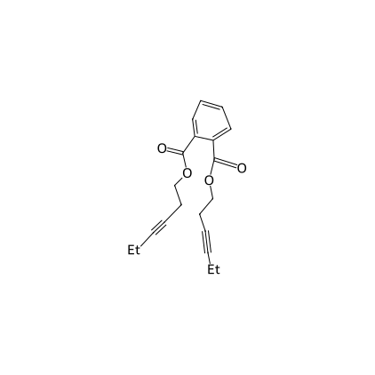 CCC#CCCOC(=O)c1ccccc1C(=O)OCCC#CCC